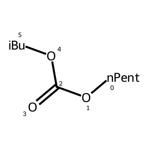 CCCCCOC(=O)OC(C)CC